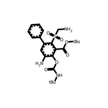 CC(C)(C)NC(=O)Oc1c(N)cc(-c2ccccc2)c(S(=O)(=O)CN)c1C(=O)OC(C)(C)C